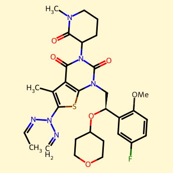 C=NN(/N=C\C)c1sc2c(c1C)c(=O)n(C1CCCN(C)C1=O)c(=O)n2C[C@H](OC1CCOCC1)c1cc(F)ccc1OC